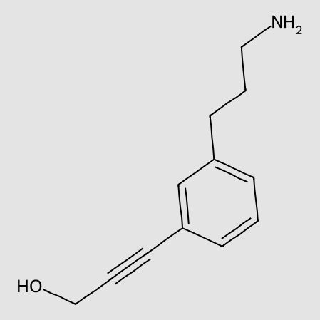 NCCCc1cccc(C#CCO)c1